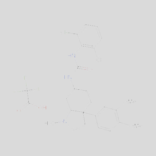 COc1ccc(C23CCC(NC(=O)Nc4c(Cl)cccc4Cl)CC2N(C)CC3)cc1OC.O=C(O)C(F)(F)F